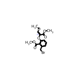 CO/C=C(/Oc1cccc(CBr)c1C(=O)OC)C(=O)OC